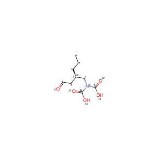 CCC[C@H](CC=O)CN(C(=O)O)C(=O)O